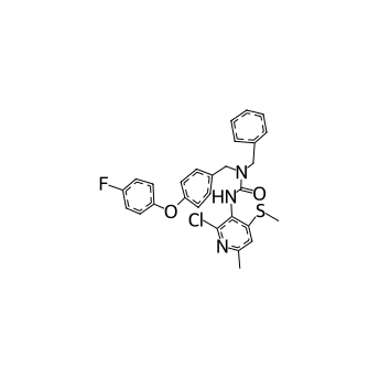 CSc1cc(C)nc(Cl)c1NC(=O)N(Cc1ccccc1)Cc1ccc(Oc2ccc(F)cc2)cc1